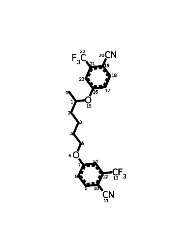 CC(CCCCOc1ccc(C#N)c(C(F)(F)F)c1)Oc1ccc(C#N)c(C(F)(F)F)c1